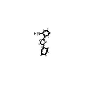 Nc1ccccc1C1=N[C@@H](c2ccccc2)CO1